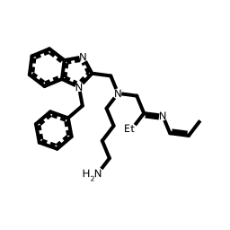 C/C=C\N=C(/CC)CN(CCCCN)Cc1nc2ccccc2n1Cc1ccccc1